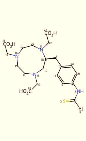 CCC(=S)Nc1ccc(C[C@H]2CN(CC(=O)O)CCN(CC(=O)O)CCN2CC(=O)O)cc1